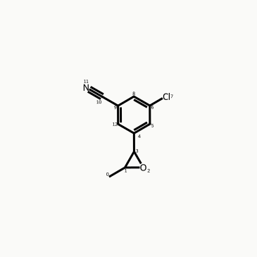 CC1OC1c1cc(Cl)cc(C#N)c1